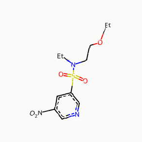 CCOCCN(CC)S(=O)(=O)c1cncc([N+](=O)[O-])c1